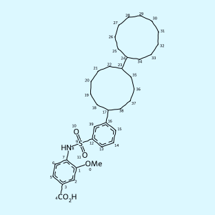 COc1cc(C(=O)O)ccc1NS(=O)(=O)c1cccc(C2CCCCCC(C3CCCCCCCCCC3)CCCC2)c1